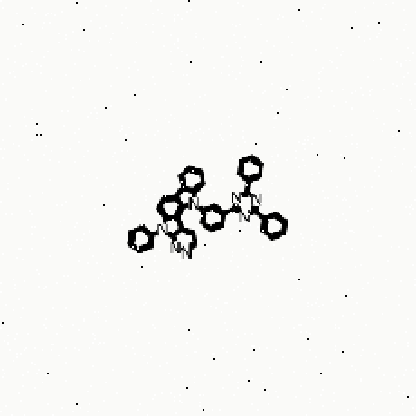 c1ccc(-c2nc(-c3ccccc3)nc(-c3cccc(-n4c5ccccc5c5ccc6c(c7ccnnc7n6-c6ccccc6)c54)c3)n2)cc1